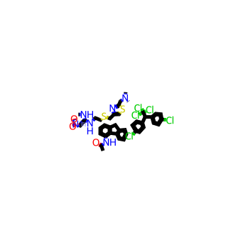 CC(=O)Nc1cccc2c1-c1ccccc1C2.CN/C(=C\[N+](=O)[O-])NCCSCc1csc(CN(C)C)n1.Clc1ccc(C(c2ccc(Cl)cc2)C(Cl)(Cl)Cl)cc1